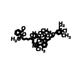 Cc1cc(OCCCc2c(C(=O)OC(C)(C)C)n(CCN3CCOCC3)c3c(-c4c(C)nn(CCCCCCN(C)C(=O)c5ccccc5C=O)c4C)cccc23)cc(C)c1Cl